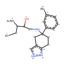 CC(=O)NC(CC(C)C)C(O)CNC1(c2cccc(C(C)(C)C)c2)CCc2n[nH]cc2C1